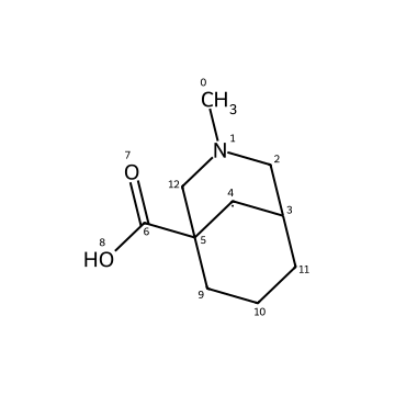 CN1CC2[CH]C(C(=O)O)(CCC2)C1